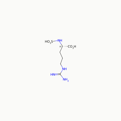 N=C(N)NCCC[C@H](NS(=O)(=O)O)C(=O)O